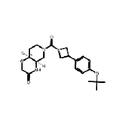 CC(C)(C)Oc1ccc(C2CN(C(=O)N3CC[C@@H]4OCC(=O)N[C@@H]4C3)C2)cc1